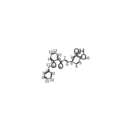 COc1ccc(C=CC(=O)c2ccccc2OCc2ccccc2)cc1O